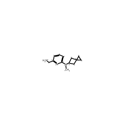 CN(c1cccc(CN)n1)C1CC2(CC2)C1